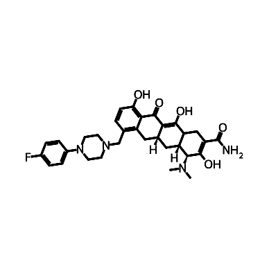 CN(C)[C@@H]1C(O)=C(C(N)=O)CC2C(O)=C3C(=O)c4c(O)ccc(CN5CCN(c6ccc(F)cc6)CC5)c4C[C@H]3C[C@H]21